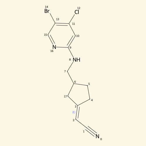 N#C/C=C1\CCC(CNc2cc(Cl)c(Br)cn2)C1